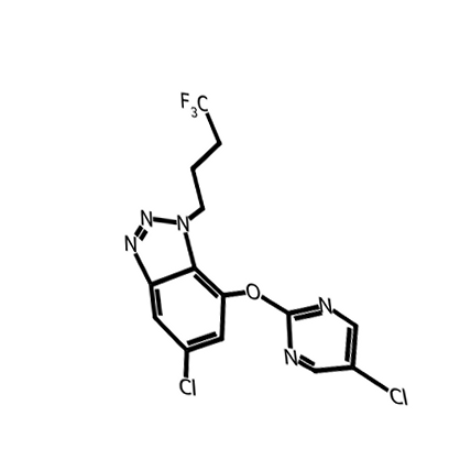 FC(F)(F)CCCn1nnc2cc(Cl)cc(Oc3ncc(Cl)cn3)c21